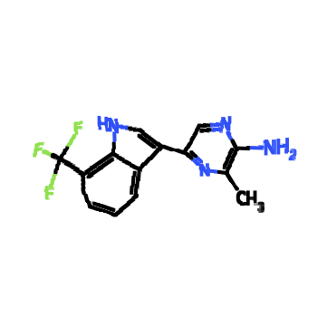 Cc1nc(-c2c[nH]c3c(C(F)(F)F)cccc23)cnc1N